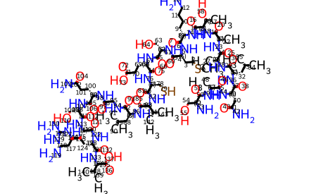 CSCC[C@H](NC(=O)[C@H](CCCCN)NC(=O)[C@@H](NC(=O)[C@H](C)NC(=O)[C@H](C)NC(=O)[C@H](CC(C)C)NC(=O)[C@H](CC(N)=O)NC(=O)[C@H](C)NC(=O)[C@@H](N)CO)[C@@H](C)O)C(=O)N[C@@H](CO)C(=O)N[C@@H](CCC(=O)O)C(=O)N[C@@H](CS)C(=O)N[C@H](C(=O)N[C@@H](CC(C)C)C(=O)NCC(=O)N[C@@H](CCC(N)=O)C(=O)N[C@@H](CO)C(=O)N[C@@H](CCCCN)C(=O)N[C@@H](CCCNC(=N)N)C(=O)N[C@H](C(=O)O)C(C)C)C(C)C